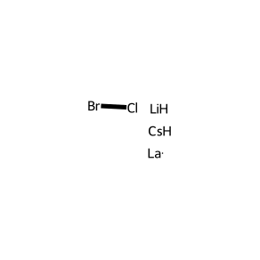 ClBr.[CsH].[La].[LiH]